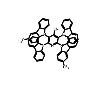 N#Cc1c(-n2c3ccccc3c3ccccc32)c(-n2c3ccccc3c3cc(C(F)(F)F)ccc32)nc(-n2c3ccccc3c3ccccc32)c1-n1c2ccccc2c2cc(C(F)(F)F)ccc21